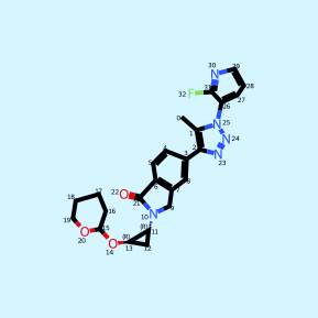 Cc1c(-c2ccc3c(c2)CN([C@@H]2C[C@H]2OC2CCCCO2)C3=O)nnn1-c1cccnc1F